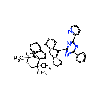 CC1(C)CCC(C)(C)c2c1cc(-c1c3ccccc3c(-c3nc(-c4ccccc4)nc(-c4ccccn4)n3)c3ccccc13)c1ccccc21